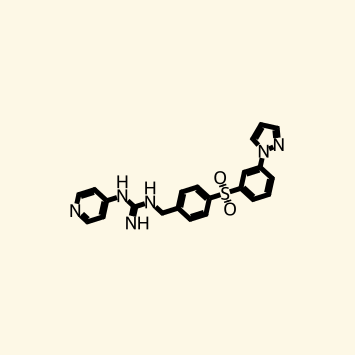 N=C(NCc1ccc(S(=O)(=O)c2cccc(-n3cccn3)c2)cc1)Nc1ccncc1